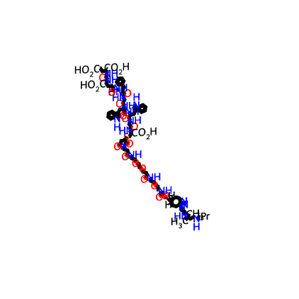 CC(C)NCCC(C)(C)NCCn1nnc2c1CC[C@H]1[C@@H](CC2)[C@H]1COC(=O)NCCOCCNC(=O)CCOCCOCCNC(=O)CCN1C(=O)CC(SCC(NC(=O)CNC(=O)C(Cc2c[nH]c3ccccc23)NC(=O)C(Cc2c[nH]c3ccccc23)NC(=O)CNC(=O)C(Cc2ccccc2)NNC(=O)CC[C@H](NC(=O)N[C@@H](CCC(=O)O)C(=O)O)C(=O)O)C(=O)O)C1=O